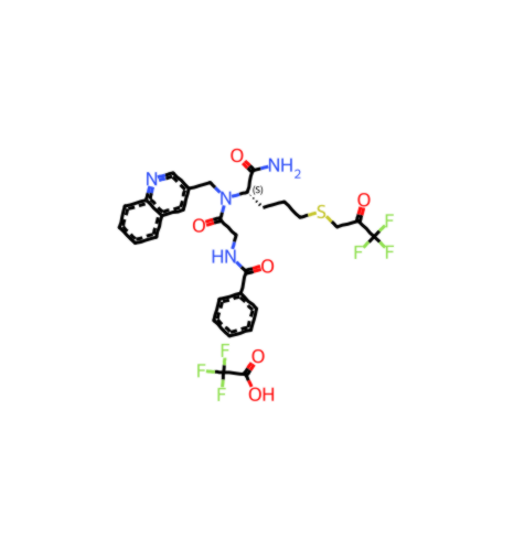 NC(=O)[C@H](CCCSCC(=O)C(F)(F)F)N(Cc1cnc2ccccc2c1)C(=O)CNC(=O)c1ccccc1.O=C(O)C(F)(F)F